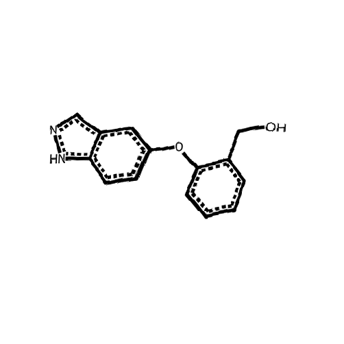 OCc1ccccc1Oc1ccc2[nH]ncc2c1